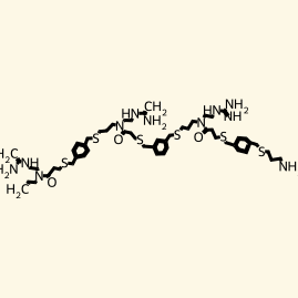 C=CCN(CCNC(=C)N)C(=O)CCSCc1ccc(CSCCCN(CCNC(=C)N)C(=O)CCSCc2cccc(CSCCCN(CCNC(=N)N)C(=O)CCSCc3ccc(CSCCCN)cc3)c2)cc1